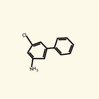 Nc1cc(Cl)cc(-c2ccccc2)c1